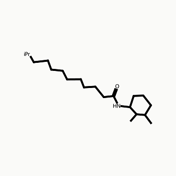 CC(C)CCCCCCCCCC(=O)NC1CCCC(C)C1C